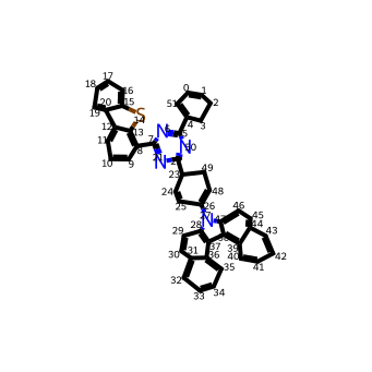 C1=CCCC(c2nc(-c3cccc4c3sc3ccccc34)nc(C3C=CC(n4c5ccc6ccccc6c5c5c6ccccc6ccc54)=CC3)n2)=C1